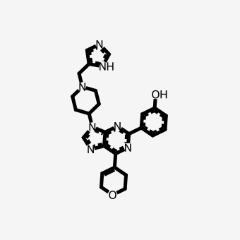 Oc1cccc(-c2nc(C3=CCOCC3)c3ncn(C4CCN(Cc5cnc[nH]5)CC4)c3n2)c1